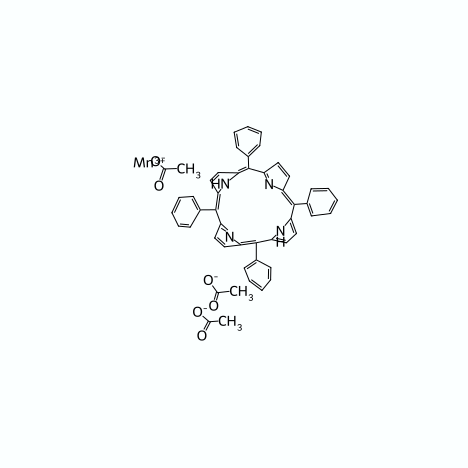 C1=Cc2nc1c(-c1ccccc1)c1ccc([nH]1)c(-c1ccccc1)c1nc(c(-c3ccccc3)c3ccc([nH]3)c2-c2ccccc2)C=C1.CC(=O)[O-].CC(=O)[O-].CC(=O)[O-].[Mn+3]